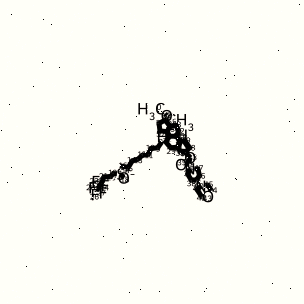 CO[C@H]1CC[C@H]2[C@@H]3[C@H](CCCCCCCCC[S+]([O-])CCCC(F)(F)C(F)(F)F)Cc4cc(OC(=O)N5CCC(N6CCOCC6)CC5)ccc4[C@H]3CC[C@]12C